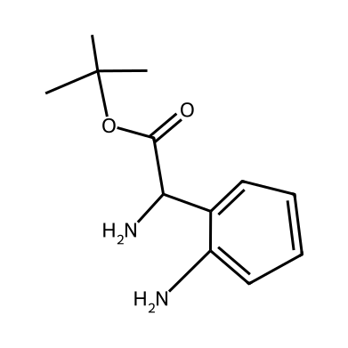 CC(C)(C)OC(=O)C(N)c1ccccc1N